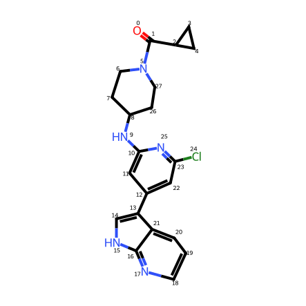 O=C(C1CC1)N1CCC(Nc2cc(-c3c[nH]c4ncccc34)cc(Cl)n2)CC1